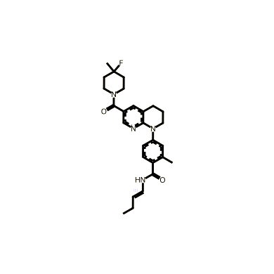 CC/C=C/NC(=O)c1ccc(N2CCCc3cc(C(=O)N4CCC(C)(F)CC4)cnc32)cc1C